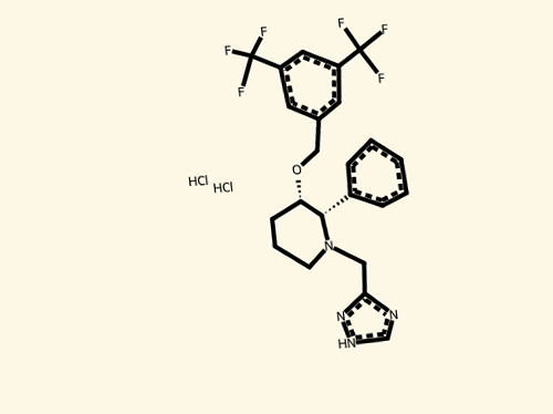 Cl.Cl.FC(F)(F)c1cc(CO[C@H]2CCCN(Cc3nc[nH]n3)[C@H]2c2ccccc2)cc(C(F)(F)F)c1